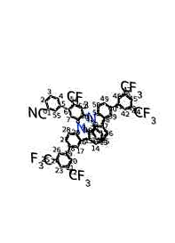 N#Cc1cccc(-c2cc(-n3c4ccccc4c4cc(-c5cc(C(F)(F)F)cc(C(F)(F)F)c5)ccc43)c(-n3c4ccccc4c4cc(-c5cc(C(F)(F)F)cc(C(F)(F)F)c5)ccc43)cc2C(F)(F)F)c1